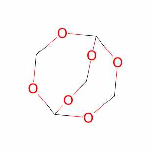 C1OC2OCOC(O1)OCO2